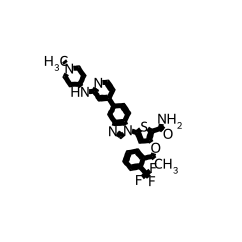 CC(Oc1cc(-n2cnc3c2C=CC(c2ccnc(NC4CCN(C)CC4)c2)C3)sc1C(N)=O)c1ccccc1C(F)(F)F